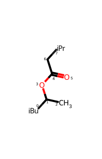 CCC(C)C(C)OC(=O)CC(C)C